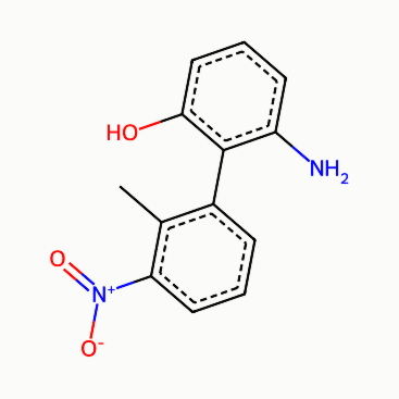 Cc1c(-c2c(N)cccc2O)cccc1[N+](=O)[O-]